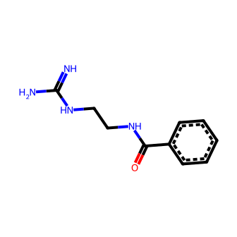 N=C(N)NCCNC(=O)c1ccccc1